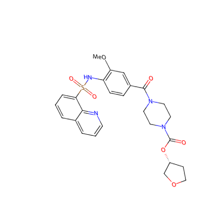 COc1cc(C(=O)N2CCN(C(=O)O[C@@H]3CCOC3)CC2)ccc1NS(=O)(=O)c1cccc2cccnc12